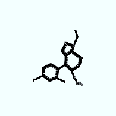 CCn1ncc2c(-c3ccc(F)cc3C)c(CN)cnc21